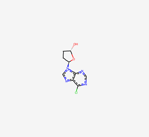 O[C@H]1[CH][CH][C@H](n2cnc3c(Cl)ncnc32)O1